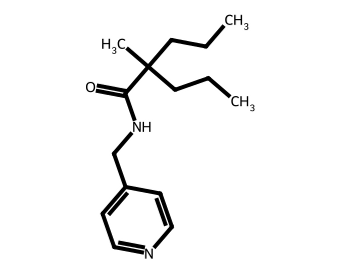 CCCC(C)(CCC)C(=O)NCc1ccncc1